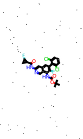 CC(C)(C)OC(=O)Nc1c(F)c(-c2c(Cl)cccc2Cl)cc2cc(NC(=O)C3CC3F)ncc12